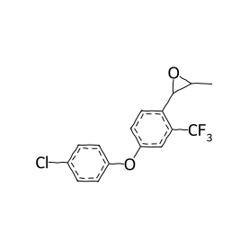 CC1OC1c1ccc(Oc2ccc(Cl)cc2)cc1C(F)(F)F